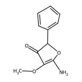 COC1=C(N)OC(c2ccccc2)C1=O